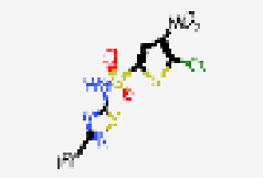 CC(C)c1nsc(NS(=O)(=O)c2cc([N+](=O)[O-])c(Cl)s2)n1